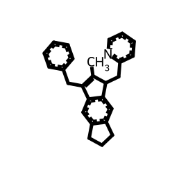 CC1=C(Cc2ccccc2)c2cc3c(cc2C1Cc1ccccn1)CCC3